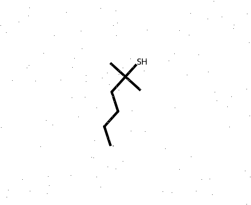 [CH2]CCCC(C)(C)S